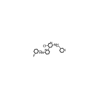 Fc1cccc(CNc2cccc(-c3cc(NCCc4cccnc4)ncc3Cl)n2)c1